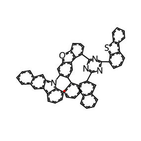 c1ccc(-c2cc3c(cc2-n2c4ccccc4c4cc5ccccc5cc42)oc2cccc(-c4nc(-c5ccc6ccccc6c5)nc(-c5cccc6c5sc5ccccc56)n4)c23)cc1